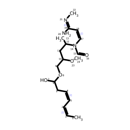 C/C=C\C=C/CC(O)OCC(CC(C)N(C=O)/C=C\C(N)=N/C)OC